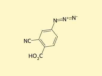 N#Cc1cc(N=[N+]=[N-])ccc1C(=O)O